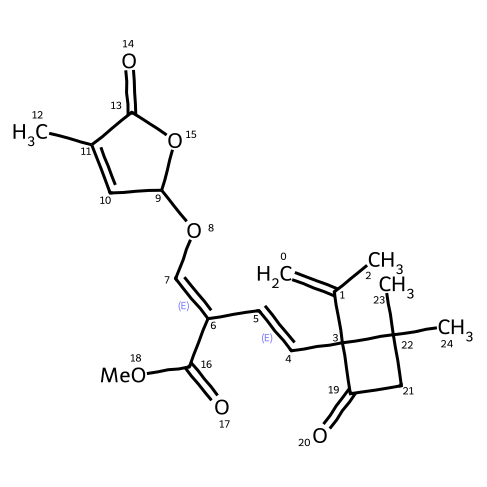 C=C(C)C1(/C=C/C(=C\OC2C=C(C)C(=O)O2)C(=O)OC)C(=O)CC1(C)C